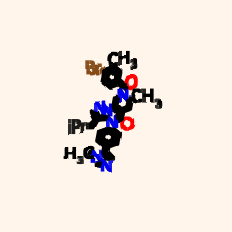 Cc1cc(C(=O)N2Cc3c(c(=O)n(-c4ccc(-c5cncn5C)cc4)c4c(CC(C)C)cnn34)C[C@H]2C)ccc1Br